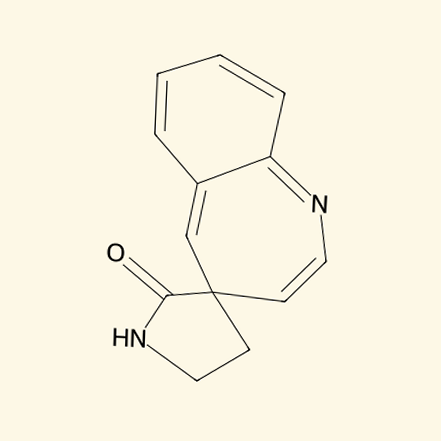 O=C1NCCC12C=CN=c1ccccc1=C2